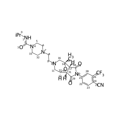 CC(C)NC(=O)N1CCN(CCN2C[C@H]3O[C@](C)(C2)[C@@H]2C(=O)N(c4ccc(C#N)c(C(F)(F)F)c4)C(=O)[C@@H]23)CC1